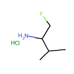 CC(C)C(N)CF.Cl